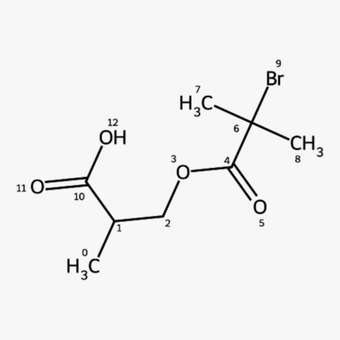 CC(COC(=O)C(C)(C)Br)C(=O)O